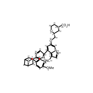 COc1ccc(CN2C3CC2CN(c2cnc(-c4cc(OC[C@@H]5CN(C(=O)O)CCO5)cn5ncc(C#N)c45)cn2)C3)cn1